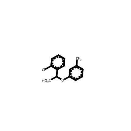 O=C(O)C(Oc1cccc(C(F)(F)F)c1)c1ccccc1Cl